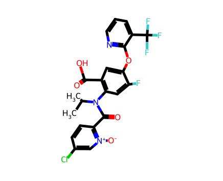 CC(C)N(C(=O)c1ccc(Cl)c[n+]1[O-])c1cc(F)c(Oc2ncccc2C(F)(F)F)cc1C(=O)O